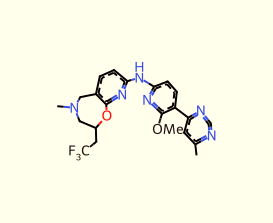 COc1nc(Nc2ccc3c(n2)OC(CC(F)(F)F)CN(C)C3)ccc1-c1cc(C)ncn1